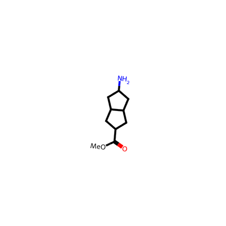 COC(=O)C1CC2CC(N)CC2C1